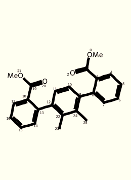 COC(=O)c1ccccc1-c1ccc(-c2ccccc2C(=O)OC)c(C)c1C